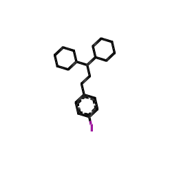 Ic1ccc(CCC(C2CCCCC2)C2CCCCC2)cc1